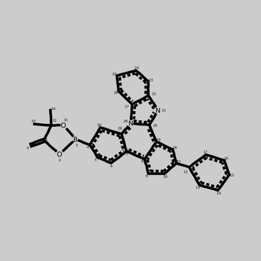 C=C1OB(c2ccc3c4ccc(-c5ccccc5)cc4c4nc5ccccc5n4c3c2)OC1(C)C